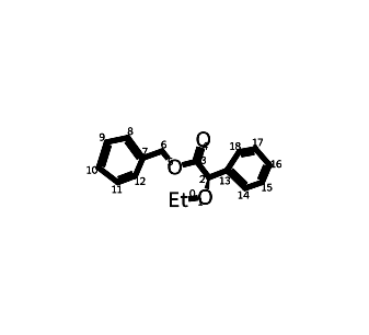 CCO[C@@H](C(=O)OCc1ccccc1)c1ccccc1